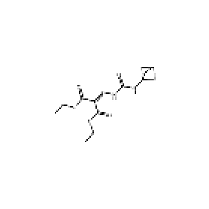 CCOC(=O)C(=CNC(=O)NC12CC(C1)C2)C(=O)OCC